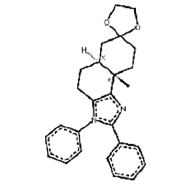 C[C@]12CCC3(C[C@@H]1CCc1c2nc(-c2ccccc2)n1-c1ccccc1)OCCO3